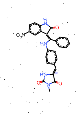 CN1C(=O)N/C(=C\c2ccc(NC(=C3C(=O)Nc4ccc([N+](=O)[O-])cc43)c3ccccc3)cc2)C1=O